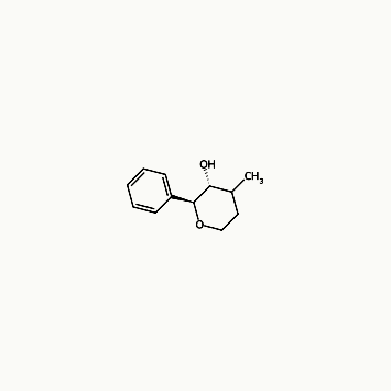 CC1CCO[C@@H](c2ccccc2)[C@@H]1O